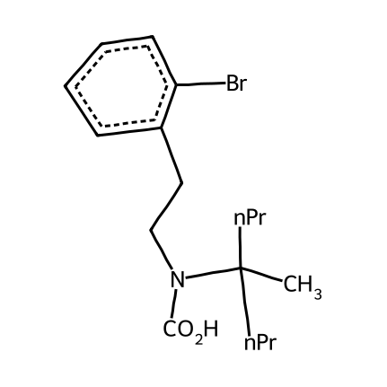 CCCC(C)(CCC)N(CCc1ccccc1Br)C(=O)O